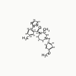 COc1ccc(CN2CCCN(C(=O)c3cc(C)ccc3-n3nccn3)C(C)C2)cc1